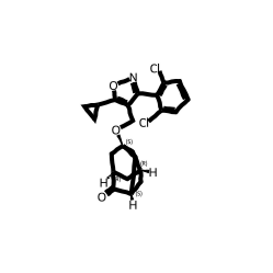 O=C1[C@@H]2C[C@H]3C[C@H]1C[C@@](OCc1c(-c4c(Cl)cccc4Cl)noc1C1CC1)(C3)C2